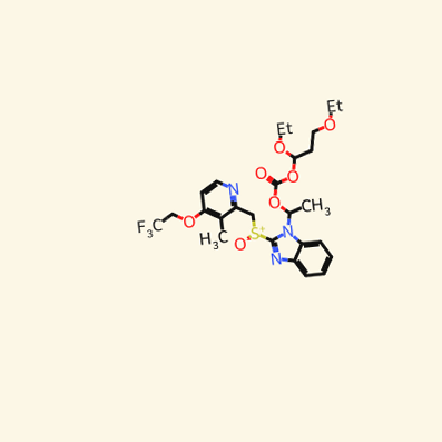 CCOCCC(OCC)OC(=O)OC(C)n1c([S+]([O-])Cc2nccc(OCC(F)(F)F)c2C)nc2ccccc21